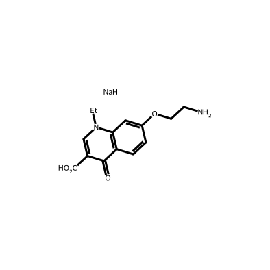 CCn1cc(C(=O)O)c(=O)c2ccc(OCCN)cc21.[NaH]